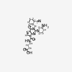 N#Cc1ccccc1Cn1c(N2CCC[C@@H](N)C2)nc2c(C(=O)NCCCC(=O)O)csc2c1=O